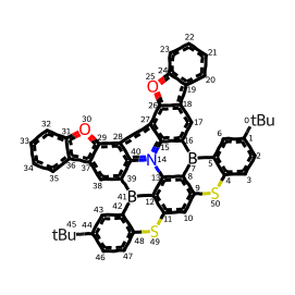 CC(C)(C)c1ccc2c(c1)B1c3c(cc4c5c3-n3c6c1cc1c7ccccc7oc1c6c1c6oc7ccccc7c6cc(c13)B5c1cc(C(C)(C)C)ccc1S4)S2